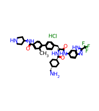 Cc1cc(C(=O)NC2CCNCC2)ccc1-c1ccc(C[C@H](NC(=O)[C@H]2CC[C@H](CN)CC2)C(=O)Nc2ccc3nc(C(F)(F)F)[nH]c3c2)cc1.Cl